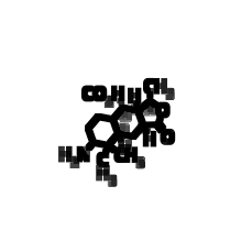 C[C@H]1OC(=O)[C@@H]2C[C@H]3C(CCC(N)C3(C)C)[C@H](C(=O)O)[C@H]12